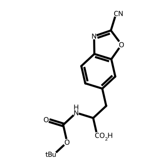 CC(C)(C)OC(=O)NC(Cc1ccc2nc(C#N)oc2c1)C(=O)O